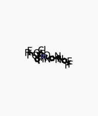 Cc1ccc(OCCC(F)(F)F)c(N2C(=O)C(Cl)S/C2=N\C(=O)Nc2ccc(-c3ncn(-c4ccc(C(F)(F)F)cc4)n3)cc2)c1